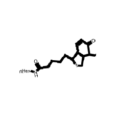 CCCCCCNC(=O)CCCCC1SCC2C(C)C(=O)C=CC12